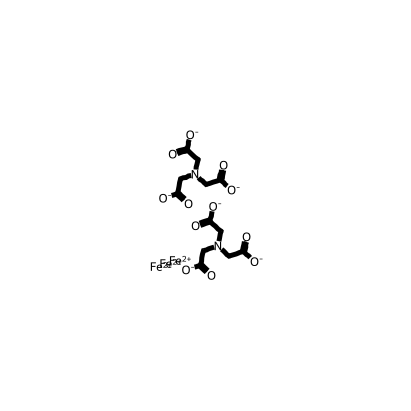 O=C([O-])CN(CC(=O)[O-])CC(=O)[O-].O=C([O-])CN(CC(=O)[O-])CC(=O)[O-].[Fe+2].[Fe+2].[Fe+2]